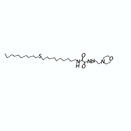 CCCCCCCCCCSCCCCCCCCCCNC(=O)C(=O)NCCCN1CCOCC1